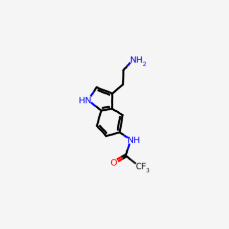 NCCc1c[nH]c2ccc(NC(=O)C(F)(F)F)cc12